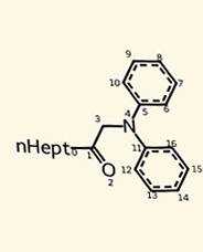 CCCCCCCC(=O)CN(c1ccccc1)c1ccccc1